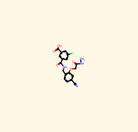 CNC(=O)COc1cc(C#N)ccc1CNC(=O)c1cc(Cl)cc(C(=O)O)c1